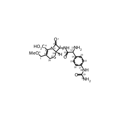 COCC1=C(C(=O)O)N2C(=O)C(NC(=O)C(N)c3ccc(NC(N)=O)cc3)[C@@H]2SC1